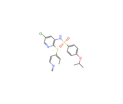 C=N/C=C\C(=C/C)Sc1ncc(Cl)cc1NS(=O)(=O)c1ccc(OC(C)C)cc1